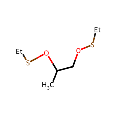 CCSOCC(C)OSCC